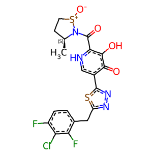 C[C@H]1CC[S+]([O-])N1C(=O)c1[nH]cc(-c2nnc(Cc3ccc(F)c(Cl)c3F)s2)c(=O)c1O